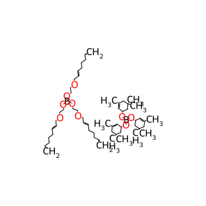 C=CCCCC=CCOCCOB(OCCOCC=CCCCC=C)OCCOCC=CCCCC=C.CC1=CC(OB(OC2C=C(C)CC(C)(C)C2)OC2C=C(C)CC(C)(C)C2)CC(C)(C)C1